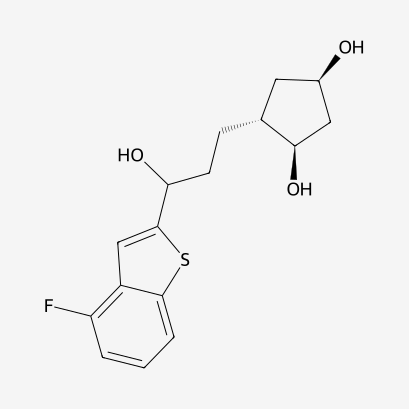 OC(CC[C@@H]1C[C@@H](O)C[C@H]1O)c1cc2c(F)cccc2s1